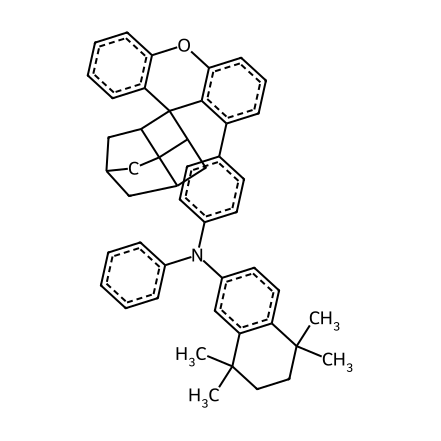 CC1(C)CCC(C)(C)c2cc(N(c3ccccc3)c3ccc(-c4cccc5c4C4(c6ccccc6O5)C5CC6CC7CC4C75C6)cc3)ccc21